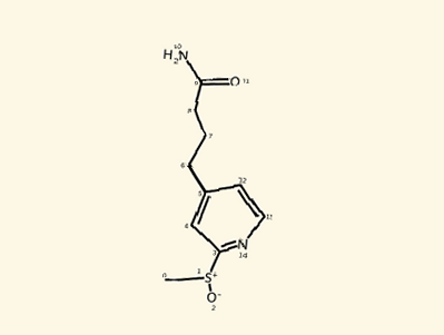 C[S+]([O-])c1cc(CCCC(N)=O)ccn1